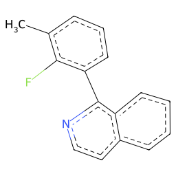 Cc1cccc(-c2nccc3ccccc23)c1F